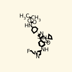 CC(C)OC(=O)N[C@H]1CC[C@H](c2ncc(-c3ccc(Nc4cnn(CCF)c4)cc3S(=N)(=O)C3CCC3)s2)CC1